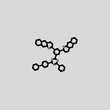 c1ccc(-c2ccc(-c3nc(-c4ccccc4)nc(-c4cc(-c5ccc6cc7ccccc7cc6n5)cc(-c5ccc6cc7ccccc7cc6n5)c4)n3)cc2)cc1